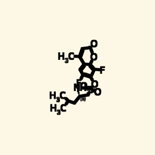 Cc1cc(=O)oc2c(F)c(OS(=O)(=O)C[C@@H](N)CC(C)C)c(F)cc12